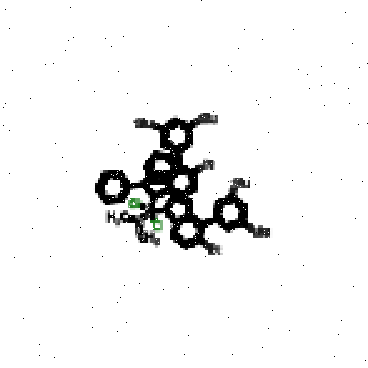 CCc1ccc2c(c1-c1cc(C(C)(C)C)cc(C(C)(C)C)c1)C=C(c1ccccc1)[CH]2[Zr]([Cl])([Cl])([CH]1C(c2ccccc2)=Cc2c1ccc(CC)c2-c1cc(C(C)(C)C)cc(C(C)(C)C)c1)[SiH](C)C